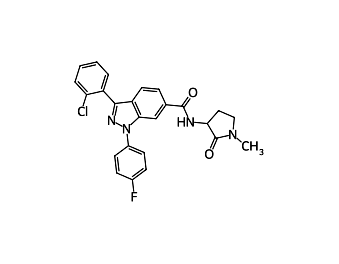 CN1CCC(NC(=O)c2ccc3c(-c4ccccc4Cl)nn(-c4ccc(F)cc4)c3c2)C1=O